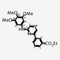 CCOC(=O)c1cccc(-c2cncc(Nc3cc(OC)c(OC)c(OC)c3)n2)c1